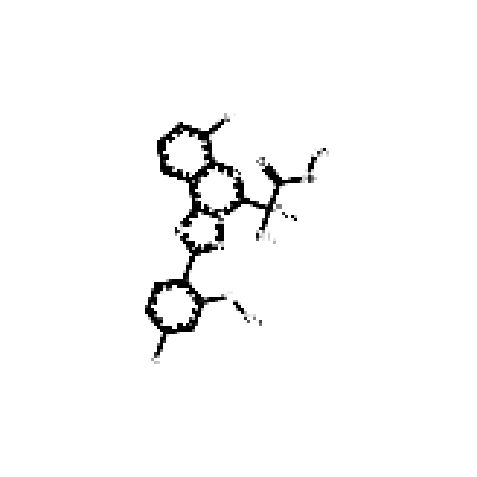 CCCNC(=O)[C@@](C)(N)c1nc2c(Br)cccc2c2nc(-c3ccc(Cl)cc3OC(F)(F)F)nn12